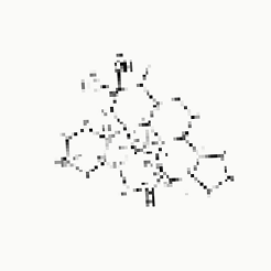 CC1C2CCC3C4CCC[C@@]4(C)CCC3[C@@]2(C)C(N2CCNCC2)(N2CCNCC2)CC1(O)O